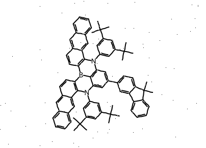 CC(C)(C)c1cc(N2c3cc(-c4ccc5c(c4)-c4ccccc4C5(C)C)cc4c3B(c3ccc5cc6ccccc6cc5c32)c2ccc3cc5ccccc5cc3c2N4c2cc(C(C)(C)C)cc(C(C)(C)C)c2)cc(C(C)(C)C)c1